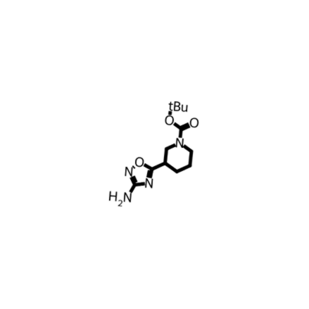 CC(C)(C)OC(=O)N1CCCC(c2nc(N)no2)C1